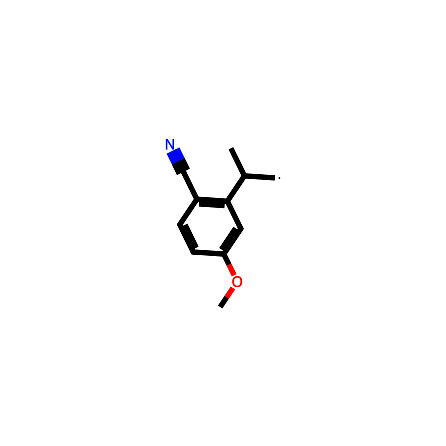 [CH2]C(C)c1cc(OC)ccc1C#N